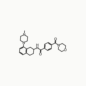 CN1CCN(c2cccc3c2CC(NC(=O)c2ccc(C(=O)N4CCOCC4)cc2)CC3)CC1